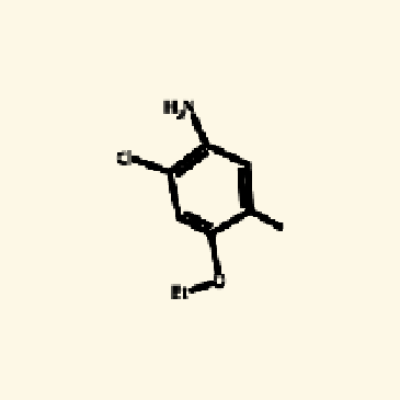 CCOc1cc(Cl)c(N)cc1C